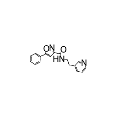 O=C(NCCc1cccnc1)c1cc(-c2ccccc2)on1